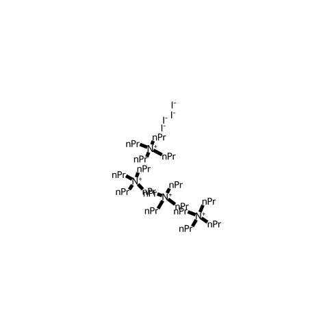 CCC[N+](CCC)(CCC)CCC.CCC[N+](CCC)(CCC)CCC.CCC[N+](CCC)(CCC)CCC.CCC[N+](CCC)(CCC)CCC.[I-].[I-].[I-].[I-]